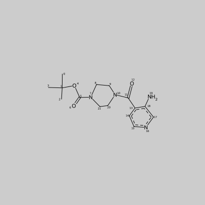 CC(C)(C)OC(=O)N1CCN(C(=O)c2ccncc2N)CC1